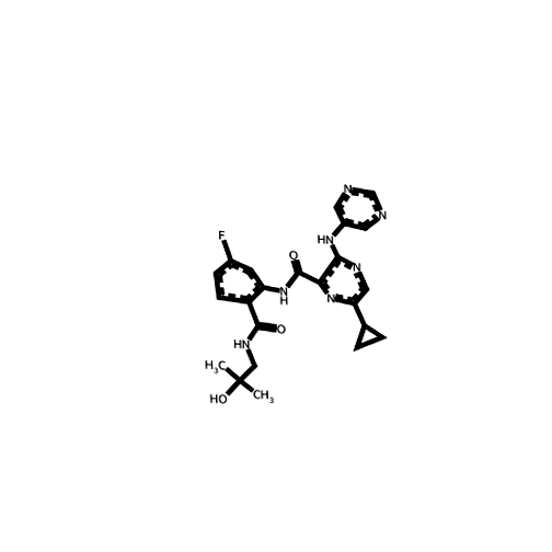 CC(C)(O)CNC(=O)c1ccc(F)cc1NC(=O)c1nc(C2CC2)cnc1Nc1cncnc1